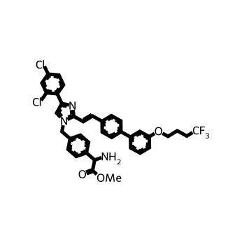 COC(=O)C(N)c1ccc(Cn2cc(-c3ccc(Cl)cc3Cl)nc2/C=C/c2ccc(-c3cccc(OCCCC(F)(F)F)c3)cc2)cc1